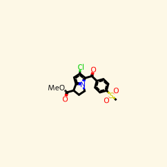 COC(=O)C1CCn2c1cc(Cl)c2C(=O)c1ccc(S(C)(=O)=O)cc1